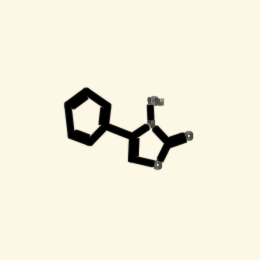 CC(C)(C)n1c(-c2ccccc2)coc1=O